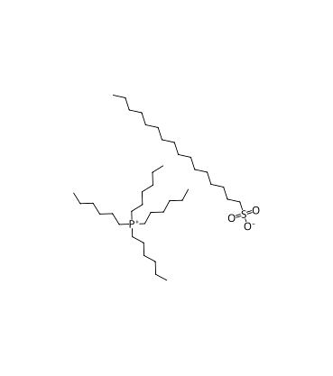 CCCCCCCCCCCCCCCCS(=O)(=O)[O-].CCCCCC[P+](CCCCCC)(CCCCCC)CCCCCC